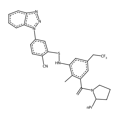 C=C(c1cc(CC(F)(F)F)cc(NSc2cc(-n3nnc4ccccc43)ccc2C#N)c1C)N1CCCC1CCC